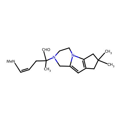 CN/C=C\CC(C)(C=O)N1CCn2c(cc3c2CC(C)(C)C3)C1